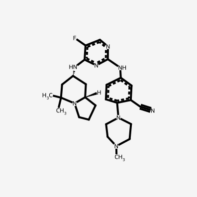 CN1CCN(c2ccc(Nc3ncc(F)c(N[C@@H]4C[C@@H]5CCCN5C(C)(C)C4)n3)cc2C#N)CC1